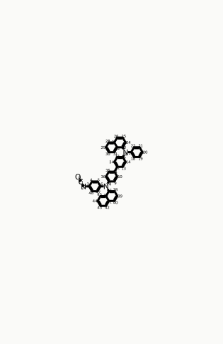 O=C=Nc1ccc(N(c2ccc(-c3ccc(N(c4ccccc4)c4cccc5ccccc45)cc3)cc2)c2cccc3ccccc23)cc1